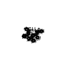 CC1(C)c2ccccc2-c2cc(N(c3ccccc3)c3cccc(N(c4ccccc4)c4cccc(N(c5ccccc5)c5ccc6sc7ccccc7c6c5)c4)c3)ccc21